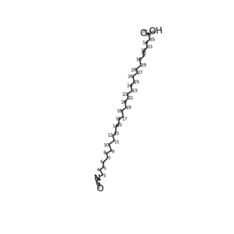 O=C=NCCCCCCCCCCCCCCCCCCCCCCCCCCCCCCCCCC(=O)O